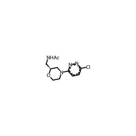 CC(=O)NC[C@H]1CN(c2ccc(Cl)nn2)CCO1